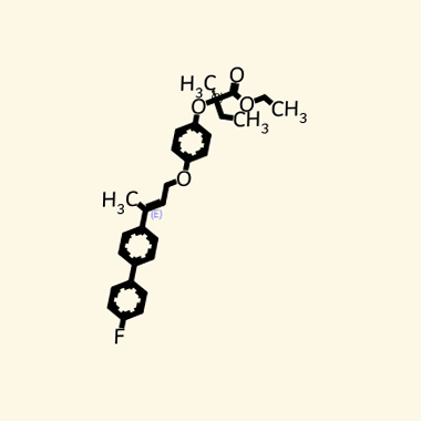 CCOC(=O)[C@@](C)(CC)Oc1ccc(OC/C=C(\C)c2ccc(-c3ccc(F)cc3)cc2)cc1